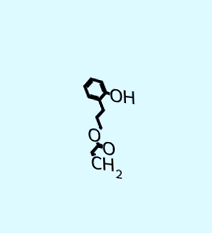 C=CC(=O)OCCCc1ccccc1O